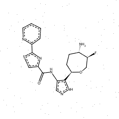 N[C@H]1CC[C@H](c2[nH]ncc2NC(=O)c2csc(-c3ccccn3)n2)OC[C@@H]1F